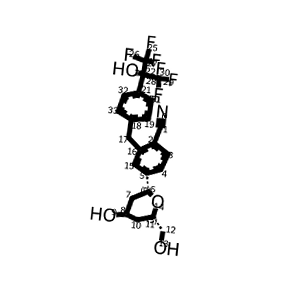 N#Cc1ccc([C@H]2CC(O)C[C@@H](CO)O2)cc1Cc1ccc(C(O)(C(F)(F)F)C(F)(F)F)cc1